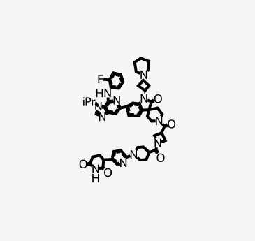 CC(C)n1cnc2cc(-c3ccc4c(c3)N([C@H]3C[C@@H](N5CCCCC5)C3)C(=O)C43CCN(C(=O)C4CN(C(=O)C5CCN(c6ccc(C7CCC(=O)NC7=O)cn6)CC5)C4)CC3)nc(Nc3ccccc3F)c21